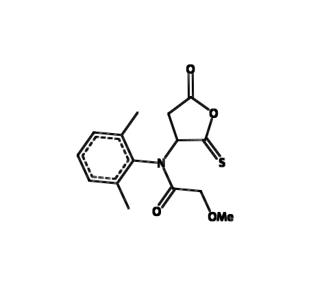 COCC(=O)N(c1c(C)cccc1C)C1CC(=O)OC1=S